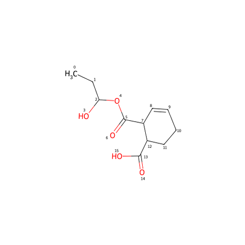 CCC(O)OC(=O)C1C=CCCC1C(=O)O